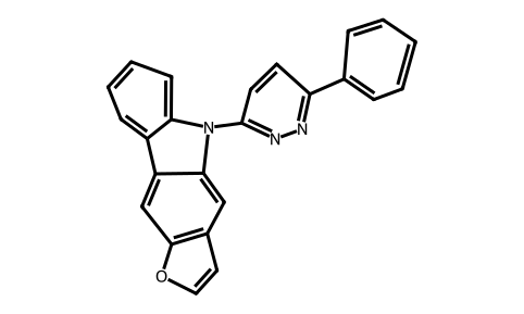 c1ccc(-c2ccc(-n3c4ccccc4c4cc5occc5cc43)nn2)cc1